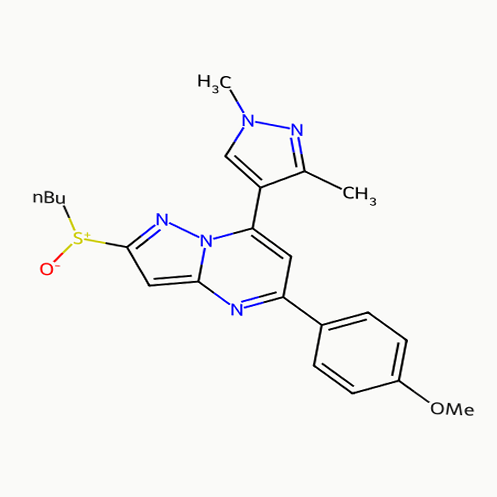 CCCC[S+]([O-])c1cc2nc(-c3ccc(OC)cc3)cc(-c3cn(C)nc3C)n2n1